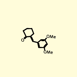 COc1cc(C=C2CCCCC2=O)cc(OC)c1